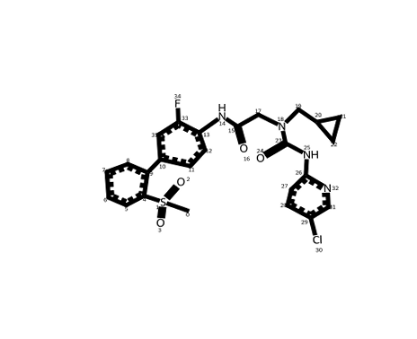 CS(=O)(=O)c1ccccc1-c1ccc(NC(=O)CN(CC2CC2)C(=O)Nc2ccc(Cl)cn2)c(F)c1